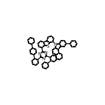 c1ccc(-c2ccc(-c3ccccc3-c3nc(-c4ccccc4-c4ccccc4)nc(-c4cccc5c4sc4c(-n6c7ccc(-c8ccccc8)cc7c7c8ccccc8ccc76)cccc45)n3)cc2)cc1